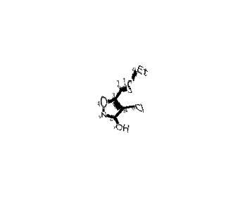 CCSCc1onc(O)c1Cl